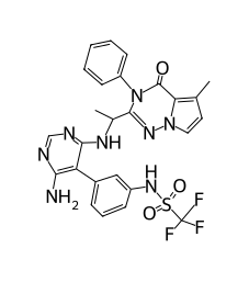 Cc1ccn2nc(C(C)Nc3ncnc(N)c3-c3cccc(NS(=O)(=O)C(F)(F)F)c3)n(-c3ccccc3)c(=O)c12